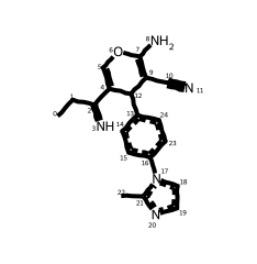 CCC(=N)C1=COC(N)=C(C#N)C1c1ccc(-n2ccnc2C)cc1